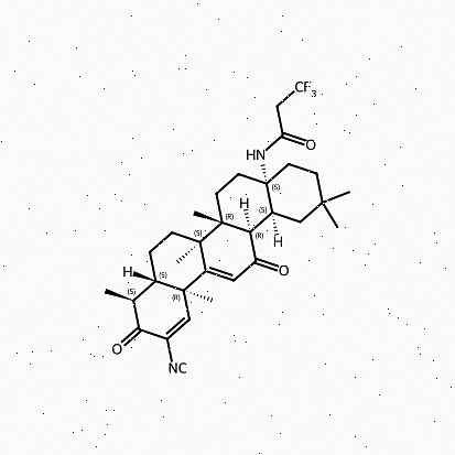 [C-]#[N+]C1=C[C@]2(C)C3=CC(=O)[C@@H]4[C@@H]5CC(C)(C)CC[C@]5(NC(=O)CC(F)(F)F)CC[C@@]4(C)[C@]3(C)CC[C@H]2[C@H](C)C1=O